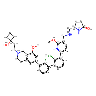 COc1cc(-c2cccc(-c3cccc(-c4ccc(CNC[C@@H]5CCC(=O)N5)c(OC)n4)c3Cl)c2Cl)cc2c1CN(CCC1(O)CCC1)CC2